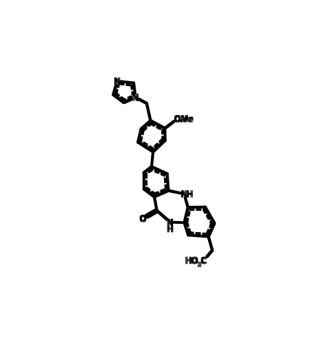 COc1cc(-c2ccc3c(c2)Nc2ccc(CC(=O)O)cc2NC3=O)ccc1Cn1ccnc1